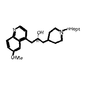 CCCCCCCN1CCC(C[C@@H](O)Cc2ccnc3ccc(OC)cc23)CC1